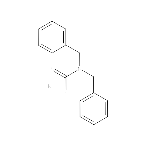 S=C([S-])N(Cc1ccccc1)Cc1ccccc1.[K+]